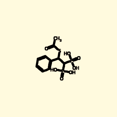 CC(=O)SC(c1ccccc1)C(P(=O)(O)O)P(=O)(O)O